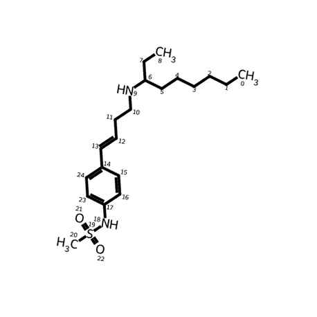 CCCCCCC(CC)NCCC=Cc1ccc(NS(C)(=O)=O)cc1